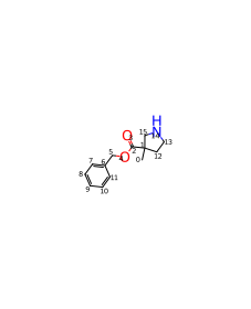 CC1(C(=O)OCc2ccccc2)CCNC1